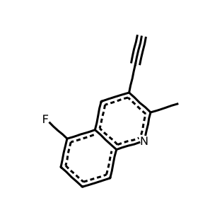 C#Cc1cc2c(F)cccc2nc1C